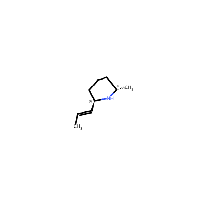 CC=C[C@H]1CCC[C@H](C)N1